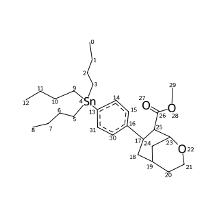 CCC[CH2][Sn]([CH2]CCC)([CH2]CCC)[c]1ccc(C2CC3CCOC(C3)C2C(=O)OC)cc1